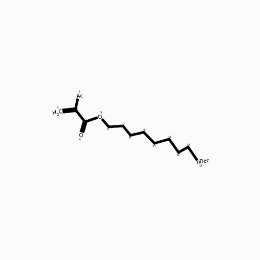 C=C(C(C)=O)C(=O)OCCCCCCCCCCCCCCCCCC